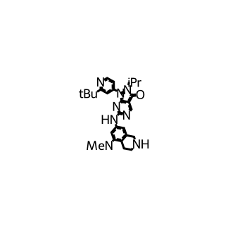 CNc1cc(Nc2ncc3c(=O)n(C(C)C)n(-c4ccnc(C(C)(C)C)c4)c3n2)cc2c1CCNC2